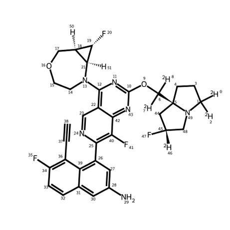 [2H]C1([2H])CC[C@@]2(C([2H])([2H])Oc3nc(N4CCOC[C@H]5[C@H](F)[C@H]54)c4cnc(-c5cc(N)cc6ccc(F)c(C#C)c56)c(F)c4n3)C[C@@]([2H])(F)CN12